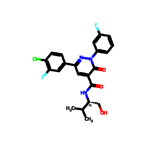 CC(C)[C@@H](CO)NC(=O)c1cc(-c2ccc(Cl)c(F)c2)nn(-c2cccc(F)c2)c1=O